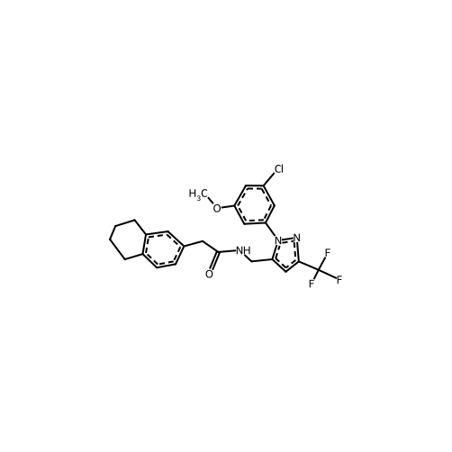 COc1cc(Cl)cc(-n2nc(C(F)(F)F)cc2CNC(=O)Cc2ccc3c(c2)CCCC3)c1